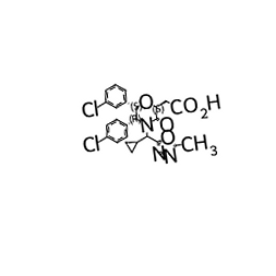 Cc1nnc(C(C2CC2)N2C(=O)[C@H](CC(=O)O)O[C@@H](c3cccc(Cl)c3)[C@H]2c2ccc(Cl)cc2)o1